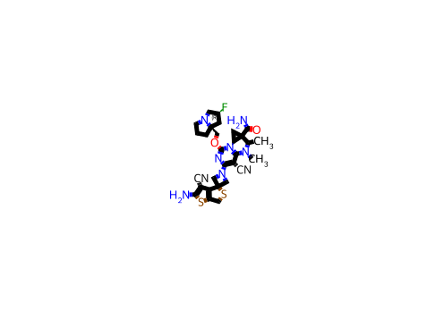 CC(N(C)c1nc(OC[C@@]23CCCN2C[C@H](F)C3)nc(N2CC3(C2)SCc2sc(N)c(C#N)c23)c1C#N)C1(C(N)=O)CC1